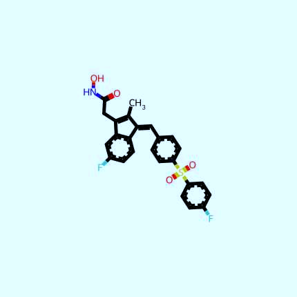 CC1=C(CC(=O)NO)c2cc(F)ccc2/C1=C\c1ccc(S(=O)(=O)c2ccc(F)cc2)cc1